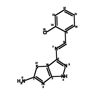 Nc1nc2[nH]nc(N=Cc3ccccc3Cl)c2s1